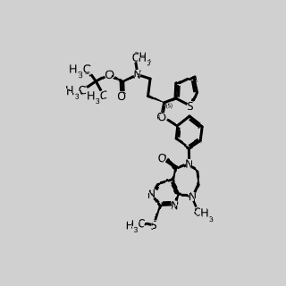 CSc1ncc2c(n1)N(C)CCN(c1cccc(O[C@@H](CCN(C)C(=O)OC(C)(C)C)c3cccs3)c1)C2=O